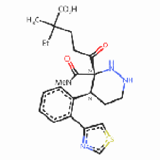 CCC(C)(CCC(=O)[C@@]1(C(=O)NC)NNCC[C@H]1c1ccccc1-c1cscn1)C(=O)O